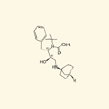 CC(C)(C)N(C(=O)O)[C@@H](Cc1ccccc1)[C@H](O)CN[C@]12CC[C@H](CC1)C2